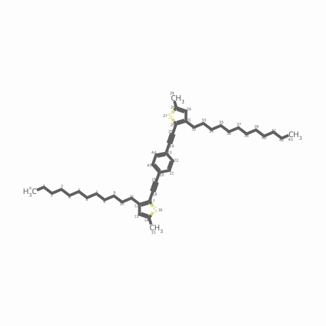 CCCCCCCCCCCCc1cc(C)sc1C#Cc1ccc(C#Cc2sc(C)cc2CCCCCCCCCCCC)cc1